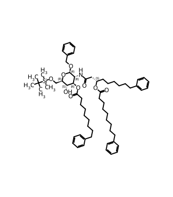 CC(C)(C)[Si](C)(C)OC[C@H]1O[C@@H](OCc2ccccc2)[C@H](NC(=O)C[C@H](CCCCCCc2ccccc2)OC(=O)CCCCCCCCc2ccccc2)[C@@H](OC(=O)CCCCCCCCc2ccccc2)[C@@H]1O